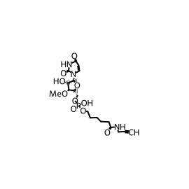 C#CCNC(=O)CCCCCOP(=O)(O)OC[C@H]1O[C@@H](n2ccc(=O)[nH]c2=O)[C@@H](O)C1OC